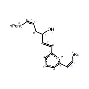 CCCC/C=C\c1cccc(/C=C/C(O)C/C=C\CCCCC)n1